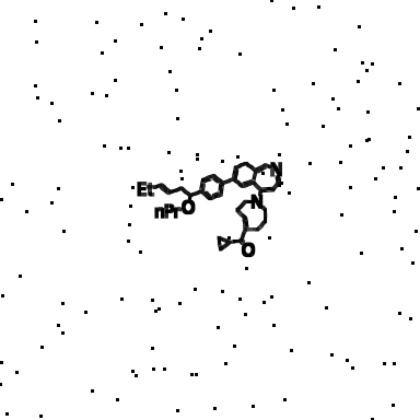 CC/C=C/CC(OCCC)c1ccc(C2=CCC3=CN=CC=C(N4CC/C=C(\C(=O)C5CC5)CCC4)C3=C2)cc1